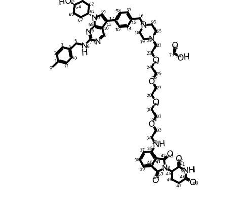 Cc1ccc(CNc2ncc3c(-c4ccc(CN5CCN(CCOCCOCCOCCOCCNc6cccc7c6C(=O)N(C6CCC(=O)NC6=O)C7=O)CC5)cc4)cn([C@H]4CC[C@H](O)CC4)c3n2)cc1.O=CO